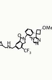 CO[C@H]1C[C@](c2cccc(N3Cc4c(cc(CNCC5CC5)cc4C(F)(F)F)C3=O)c2)(c2nncn2C)C1